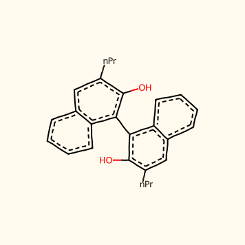 CCCc1cc2ccccc2c(-c2c(O)c(CCC)cc3ccccc23)c1O